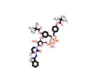 CC(C)(C)C(=O)Oc1ccc(COP(=O)(OCc2ccc(OC(=O)C(C)(C)C)cc2)OP(=O)(O)OC[C@H]2O[C@@H](n3ccc(=O)n(Cc4noc5ccccc45)c3=O)[C@@H](O)[C@H]2O)cc1